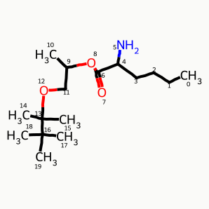 CCCCC(N)C(=O)OC(C)COC(C)(C)C(C)(C)C